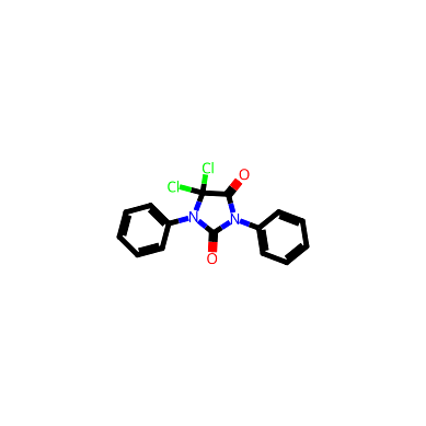 O=C1N(c2ccccc2)C(=O)C(Cl)(Cl)N1c1ccccc1